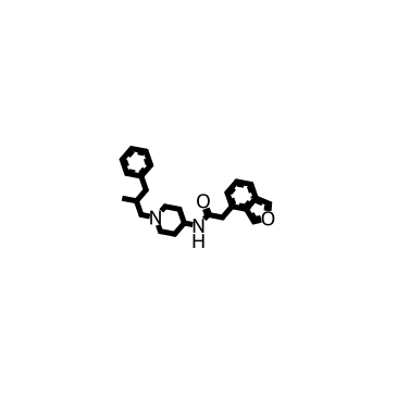 CC(Cc1ccccc1)CN1CCC(NC(=O)Cc2cccc3cocc23)CC1